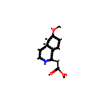 COc1ccc2c(CC(=O)O)nccc2c1